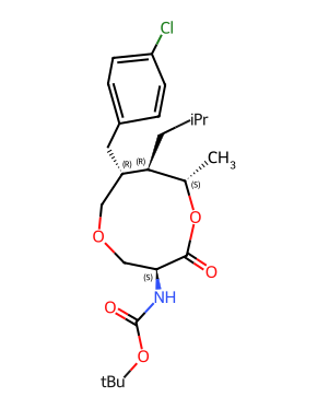 CC(C)C[C@@H]1[C@@H](Cc2ccc(Cl)cc2)COC[C@H](NC(=O)OC(C)(C)C)C(=O)O[C@H]1C